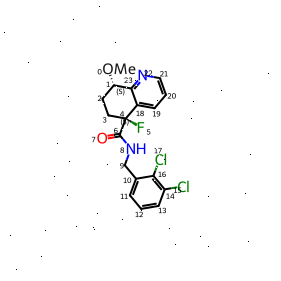 CO[C@H]1CC[C@@](F)(C(=O)NCc2cccc(Cl)c2Cl)c2cccnc21